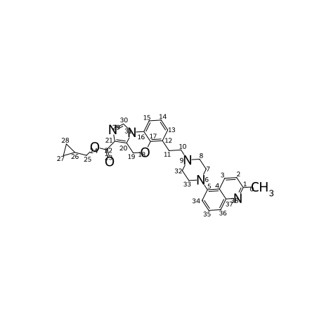 Cc1ccc2c(N3CCN(CCc4cccc5c4OCc4c(C(=O)OCC6CC6)ncn4-5)CC3)cccc2n1